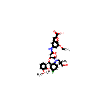 CCOc1cc(NC(=O)C[C@H]2O[C@H](c3cccc(OC)c3OC)c3cc(Cl)ccc3N(CC(C)(C)CO)C2=O)cc2cc(C(=O)O)oc12